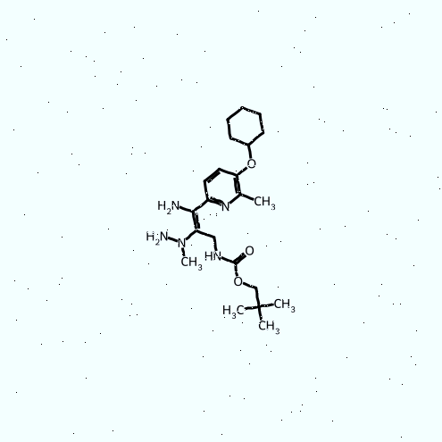 Cc1nc(/C(N)=C(\CNC(=O)OCC(C)(C)C)N(C)N)ccc1OC1CCCCC1